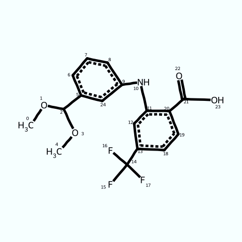 COC(OC)c1cccc(Nc2cc(C(F)(F)F)ccc2C(=O)O)c1